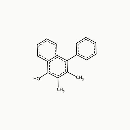 Cc1c(C)c(-c2ccccc2)c2ccccc2c1O